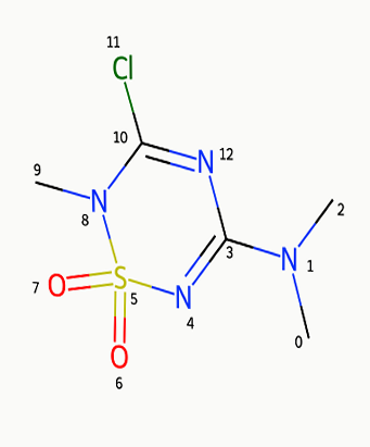 CN(C)C1=NS(=O)(=O)N(C)C(Cl)=N1